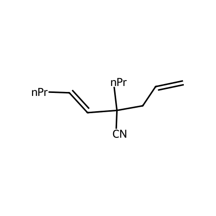 C=CCC(C#N)(/C=C/CCC)CCC